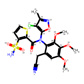 COc1cc(CC#N)c(N(C(=O)c2sccc2S(N)(=O)=O)c2onc(C)c2Cl)c(OC)c1OC